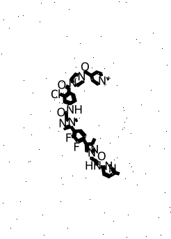 Cc1ccc(NC(=O)Cn2cc(-c3ccc(-c4cnc(C(=O)Nc5ccc(C(=O)N6CCN(C(=O)C7CC[N+](C)(C)CC7)CC6)c(Cl)c5)n4C)c(F)c3F)c(C)n2)nn1